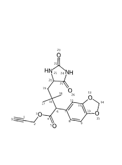 C#CCOC(=O)C(c1ccc2c(c1)OCO2)C(C)(C)CC1NC(=O)NC1=O